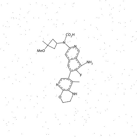 COC1(C)CC(N(C(=O)O)c2cc3cc(-c4cnc5c(c4C)NCCO5)c(F)c(N)c3cn2)C1